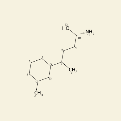 CC1CCCC(C(C)CC[C@@H](N)O)C1